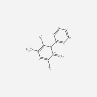 [2H]c1cc(C)c([2H])n(-c2ccccc2)c1=O